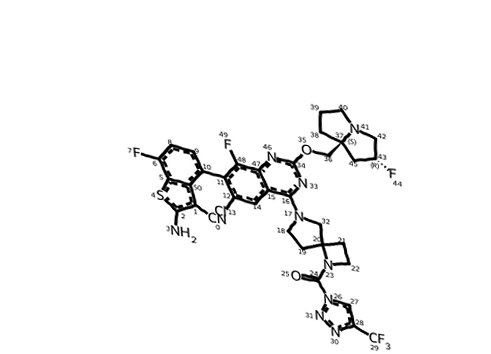 N#Cc1c(N)sc2c(F)ccc(-c3c(Cl)cc4c(N5CCC6(CCN6C(=O)n6cc(C(F)(F)F)nn6)C5)nc(OC[C@@]56CCCN5C[C@H](F)C6)nc4c3F)c12